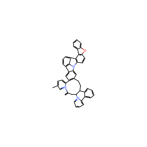 C=C1CC2C(CCc3cc4c(cc3-c3ccc(C)c[n+]31)c1cccc3c5c6c(ccc5n4c13)oc1ccccc16)c1ccccc1-c1cccc[n+]12